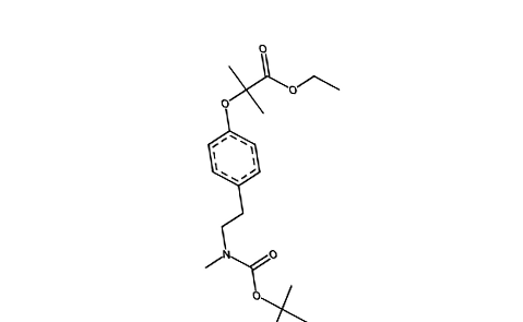 CCOC(=O)C(C)(C)Oc1ccc(CCN(C)C(=O)OC(C)(C)C)cc1